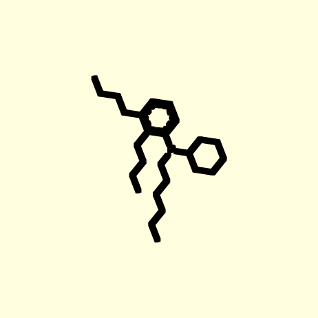 CCCCCCP(c1cccc(CCCC)c1CCCC)C1CCCCC1